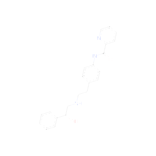 O=C(Nc1ccc(CCNCC(O)c2ccccc2)cc1)c1ccccn1